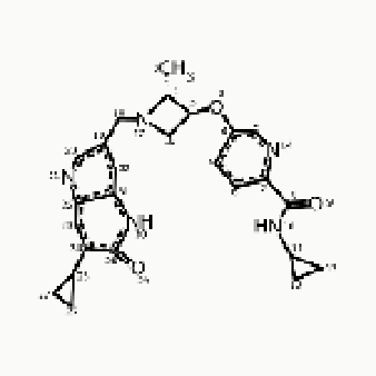 C[C@@H]1[C@@H](Oc2ccc(C(=O)NC3CC3)nc2)CN1Cc1cnc2cc(C3CC3)c(=O)[nH]c2c1